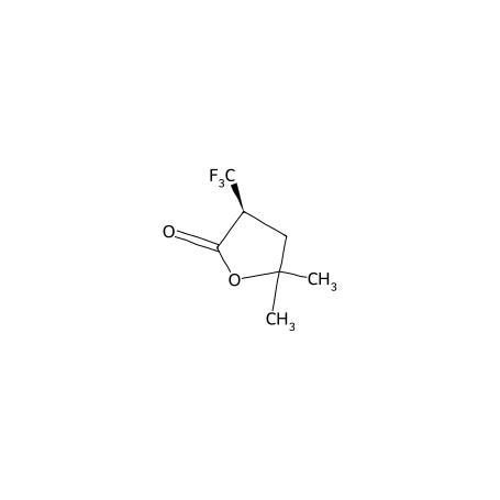 CC1(C)C[C@H](C(F)(F)F)C(=O)O1